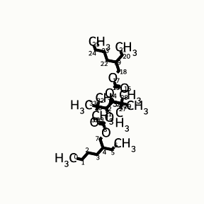 CCCCC(CC)COC(=O)OC(C(OC(=O)OCC(CC)CCCC)C(C)(C)C)C(C)(C)C